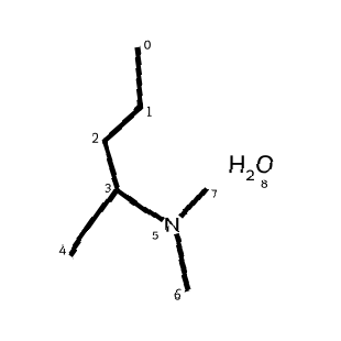 CCCC(C)N(C)C.O